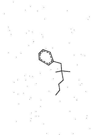 CCCCC(C)(C)Cc1ccccc1